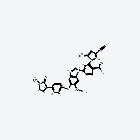 COc1cc2c(cc1Nc1ccc([C@H]3CCN(C)C3=O)nn1)ncn2-c1ccc(C(F)F)c(-n2nc(C#N)cc2C)n1